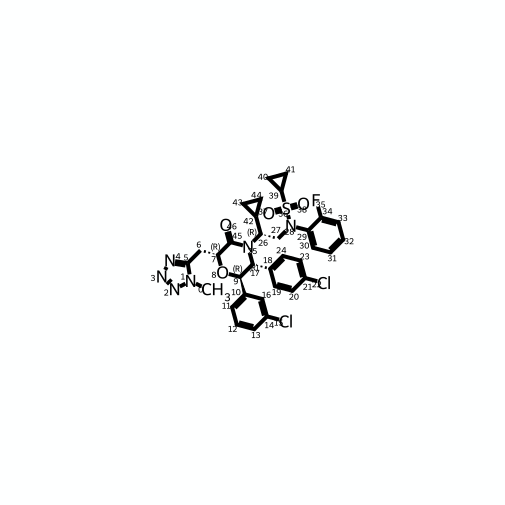 Cn1nnnc1C[C@H]1O[C@H](c2cccc(Cl)c2)[C@@H](c2ccc(Cl)cc2)N([C@@H](CN(c2ccccc2F)S(=O)(=O)C2CC2)C2CC2)C1=O